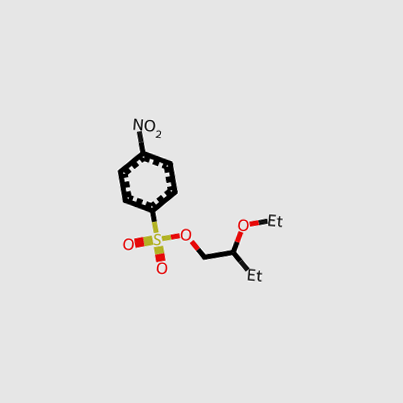 CCOC(CC)COS(=O)(=O)c1ccc([N+](=O)[O-])cc1